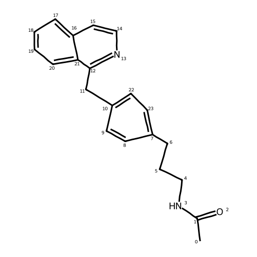 CC(=O)NCCCc1ccc(Cc2nccc3ccccc23)cc1